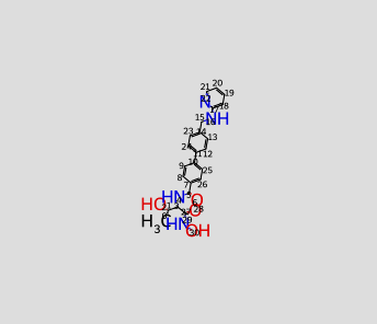 C[C@@H](O)[C@H](NC(=O)c1ccc(-c2ccc(CNc3ccccn3)cc2)cc1)C(=O)NO